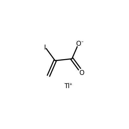 C=C(I)C(=O)[O-].[Tl+]